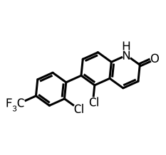 O=c1ccc2c(Cl)c(-c3ccc(C(F)(F)F)cc3Cl)ccc2[nH]1